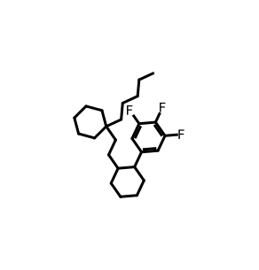 CCCCCC1(CCC2CCCCC2c2cc(F)c(F)c(F)c2)CCCCC1